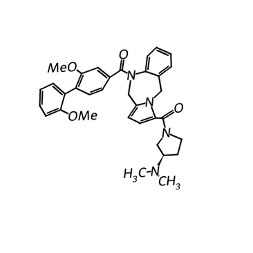 COc1ccccc1-c1ccc(C(=O)N2Cc3ccc(C(=O)N4CC[C@@H](N(C)C)C4)n3Cc3ccccc32)cc1OC